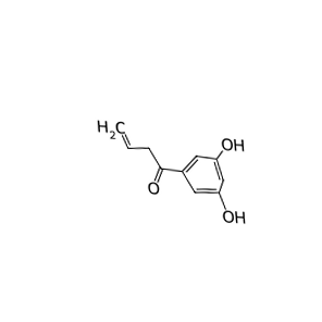 C=CCC(=O)c1cc(O)cc(O)c1